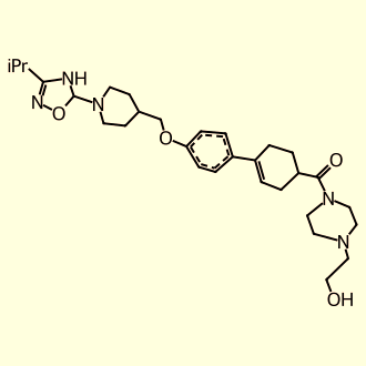 CC(C)C1=NOC(N2CCC(COc3ccc(C4=CCC(C(=O)N5CCN(CCO)CC5)CC4)cc3)CC2)N1